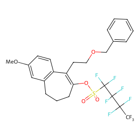 COc1ccc2c(c1)CCCC(OS(=O)(=O)C(F)(F)C(F)(F)C(F)(F)C(F)(F)F)=C2CCOCc1ccccc1